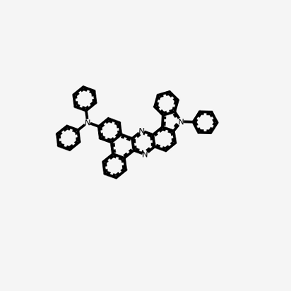 c1ccc(N(c2ccccc2)c2ccc3c(c2)c2ccccc2c2nc4ccc5c(c6ccccc6n5-c5ccccc5)c4nc32)cc1